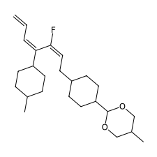 C=C/C=C(\C(F)=C/CC1CCC(C2OCC(C)CO2)CC1)C1CCC(C)CC1